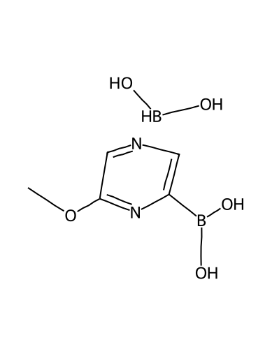 COc1cncc(B(O)O)n1.OBO